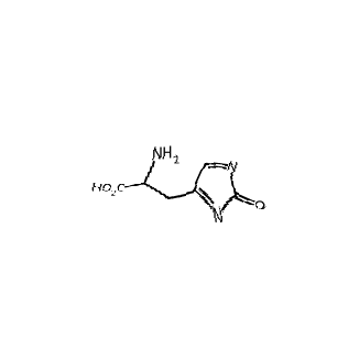 NC(CC1=NC(=O)N=C1)C(=O)O